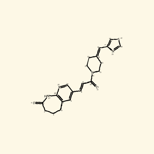 O=C1CCCc2cc(/C=C/C(=O)N3CCC(=Cc4cscn4)CC3)cnc2N1